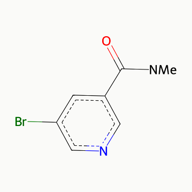 [CH2]NC(=O)c1cncc(Br)c1